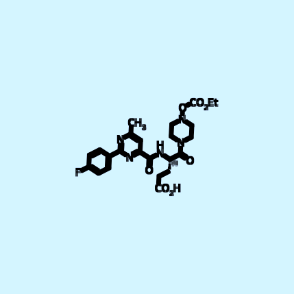 CCOC(=O)ON1CCN(C(=O)[C@H](CCC(=O)O)NC(=O)c2cc(C)nc(-c3ccc(F)cc3)n2)CC1